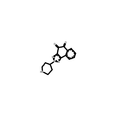 O=C1C(=O)c2nn(C3CCNCC3)nc2-c2ccccc21